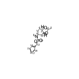 CC1O[C@@H]2CC[C@@H](N(C)C(=O)OCc3ccccc3)C[C@H]2O1